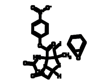 CC(=O)NC1(C(=O)Oc2ccc([N+](=O)[O-])cc2)N2C(=O)C[C@H]2SC1(C)CI.c1ccc2c(c1)O2